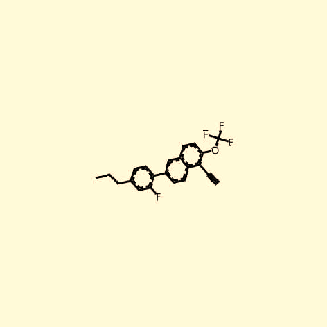 C#Cc1c(OC(F)(F)F)ccc2cc(-c3ccc(CCC)cc3F)ccc12